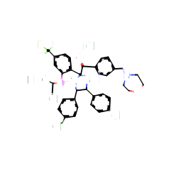 CC(C)Oc1cc(C(F)(F)F)ccc1C1(C(=O)c2ccc(CN3CCOCC3)cc2)NC(c2ccc(Cl)cc2)C(c2ccc(Cl)cc2)N1.Cl